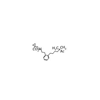 CC(=O)C(C)(C)CCCCc1ccccc1CCCCCC1(C(=O)O)CC1